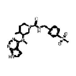 CC1CCN(C(=O)NCc2ccc(S(C)(=O)=O)cc2)CC1N(C)c1ncnc2[nH]ccc12